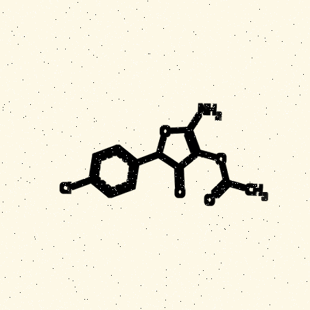 CC(=O)OC1=C(N)OC(c2ccc(Cl)cc2)C1=O